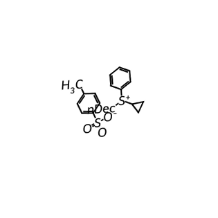 CCCCCCCCCC[S+](c1ccccc1)C1CC1.Cc1ccc(S(=O)(=O)[O-])cc1